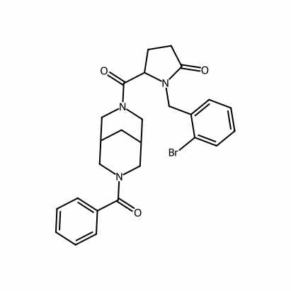 O=C(c1ccccc1)N1CC2CC(C1)CN(C(=O)C1CCC(=O)N1Cc1ccccc1Br)C2